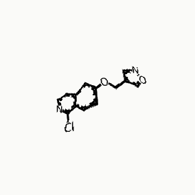 Clc1nccc2cc(OCc3cnoc3)ccc12